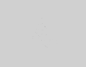 O=C1CCCN1N=C(Cc1ccnc2ccccc12)c1ccc(F)cc1